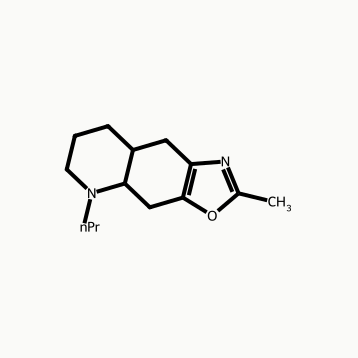 CCCN1CCCC2Cc3nc(C)oc3CC21